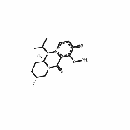 CC(C)N1[C@@H]2CC[C@@H](C)CN2C(=O)c2c(OP)c(=O)ccn21